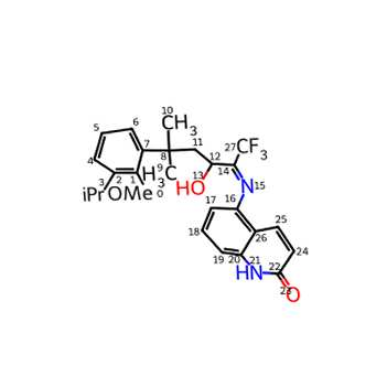 COc1c(C(C)C)cccc1C(C)(C)CC(O)C(=Nc1cccc2[nH]c(=O)ccc12)C(F)(F)F